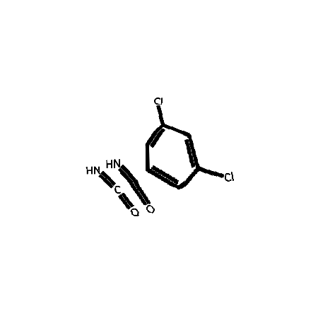 Clc1cccc(Cl)c1.N=C=O.N=C=O